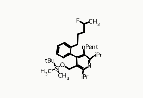 CCCCCc1c(C(C)C)nc(C(C)C)c(CO[Si](C)(C)C(C)(C)C)c1-c1ccccc1CCCC(C)F